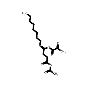 CCCCCCCCN=C(CCC(=O)OC(C)=O)OC(=O)C(C)=O